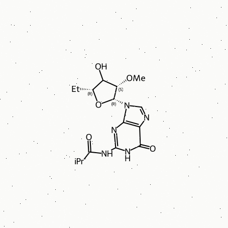 CC[C@H]1O[C@@H](n2cnc3c(=O)[nH]c(NC(=O)C(C)C)nc32)[C@@H](OC)C1O